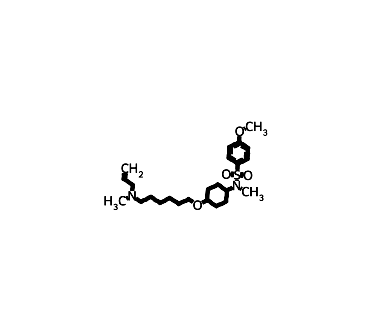 C=CCN(C)CCCCCCOC1CCC(N(C)S(=O)(=O)c2ccc(OC)cc2)CC1